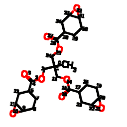 CC(COC(=O)C1CCC2OC2C1)(COC(=O)C1CCC2OC2C1)COC(=O)C1CCC2OC2C1